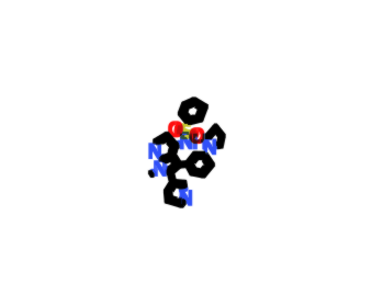 Cn1c(-c2cccnc2)c(-c2cccc(N3CCCC3)c2)c2c(NS(=O)(=O)c3ccccc3)ccnc21